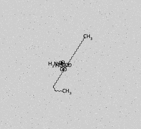 CCCCC/C=C\C/C=C\CCCCCCCCCCCC(=O)O[C@H](COC(=O)CCCCCCCCCCCCCCCCCCCCC)COP(=O)(O)OCCN